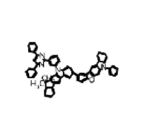 CC1(C)c2ccccc2-c2cc3c4cc(-c5ccc6oc7cc8c(cc7c6c5)c5ccccc5n8-c5ccccc5)ccc4n(-c4cccc(-c5nc(-c6ccccc6)cc(-c6ccccc6)n5)c4)c3cc21